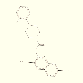 COc1ccc2nc(OC)c(NC(=O)N3CCN(c4ccccc4C)CC3)nc2c1